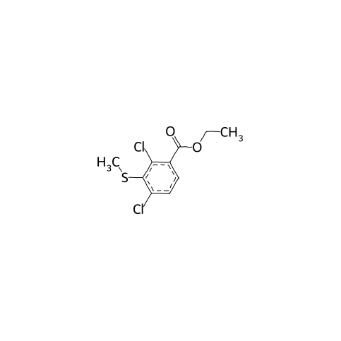 CCOC(=O)c1ccc(Cl)c(SC)c1Cl